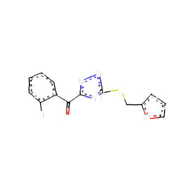 CC(C)c1ccccc1C(=O)c1nnc(SCc2ccco2)[nH]1